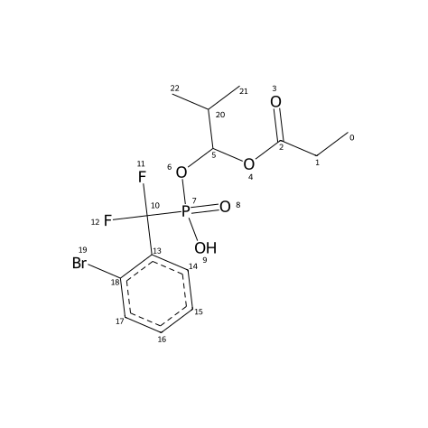 CCC(=O)OC(OP(=O)(O)C(F)(F)c1ccccc1Br)C(C)C